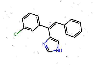 Clc1cccc(/C(=C/c2ccccc2)c2c[nH]cn2)c1